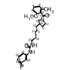 COc1cccc(C)c1C(=O)N1CCC(CCCCCNC(=O)Nc2ccnc(F)c2)C1